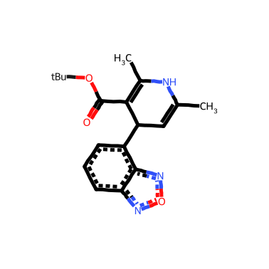 CC1=CC(c2cccc3nonc23)C(C(=O)OC(C)(C)C)=C(C)N1